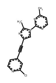 Cc1ccnc(-n2cc(C#Cc3ccnc(Cl)c3)nc2C)n1